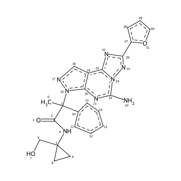 CC(C(=O)NC1(CO)CC1)(c1ccccc1)n1ncc2c1nc(N)n1nc(-c3ccco3)nc21